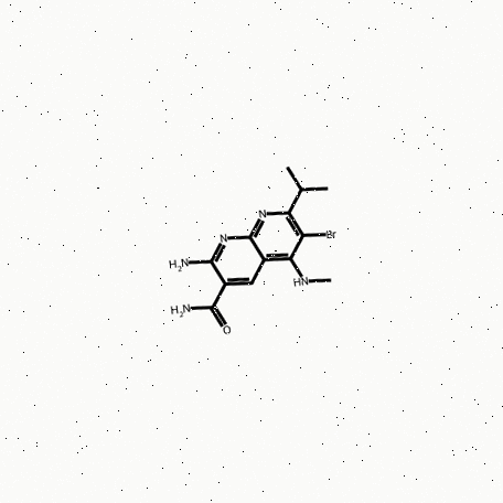 CNc1c(Br)c(C(C)C)nc2nc(N)c(C(N)=O)cc12